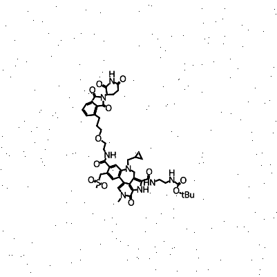 Cn1cc2c3c(c(C(=O)NCCNC(=O)OC(C)(C)C)[nH]c3c1=O)CN(CC1CC1)c1cc(C(=O)NCCOCCCc3cccc4c3C(=O)N(C3CCC(=O)NC3=O)C4=O)c(CS(C)(=O)=O)cc1-2